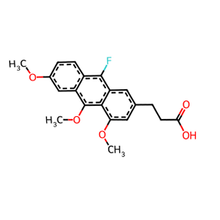 COc1ccc2c(F)c3cc(CCC(=O)O)cc(OC)c3c(OC)c2c1